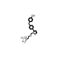 C[SiH](C)CCOCn1nccc1-c1ccc(Cc2ccc(O)cc2)cc1